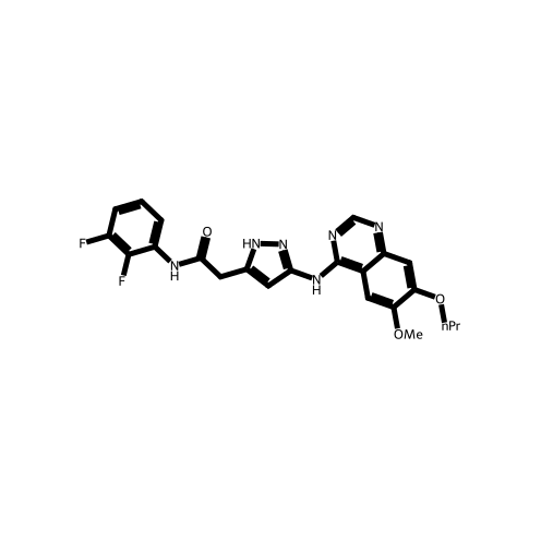 C[CH]COc1cc2ncnc(Nc3cc(CC(=O)Nc4cccc(F)c4F)[nH]n3)c2cc1OC